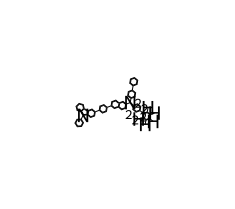 [2H]c1c([2H])c([2H])c(-c2ccc(N(c3ccc(-c4ccccc4)cc3)c3ccc4cc(-c5ccc(-c6ccc7c(c6)c6ccccc6n7-c6ccccc6)cc5)ccc4c3)cc2)c([2H])c1[2H]